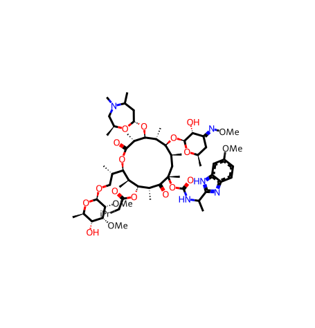 CO/N=C1\C[C@@H](C)O[C@@H](O[C@@H]2[C@@H](C)[C@H](O[C@H]3CC(C)N(C)C[C@H](C)O3)[C@@H](C)C(=O)O[C@H]([C@@H](C)CO[C@@H]3O[C@H](C)[C@@H](O)[C@@H](OC)[C@H]3OC)[C@H](C)[C@@H](OC(=O)CC(C)C)[C@@H](C)C(=O)[C@@](C)(OC(=O)NC(C)c3nc4ccc(OC)cc4[nH]3)C[C@@H]2C)[C@@H]1O